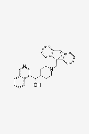 O[C@H](c1cncc2ccccc12)C1CCN(CC23CC(c4ccccc42)c2ccccc23)CC1